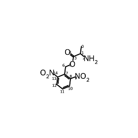 CC(N)C(=O)OCc1c([N+](=O)[O-])cccc1[N+](=O)[O-]